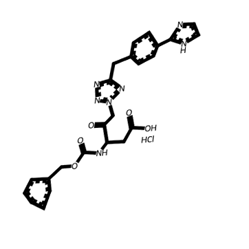 Cl.O=C(O)CC(NC(=O)OCc1ccccc1)C(=O)Cn1nnc(Cc2ccc(-c3ncc[nH]3)cc2)n1